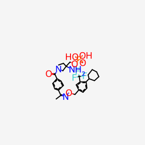 CC(=NOCc1ccc(C2CCCCC2)c(C(F)(F)F)c1)c1ccc(C(=O)N2CCC(N)(COP(=O)(O)O)C2)cc1